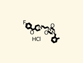 Cc1ccccc1CN1CC(=O)N(CCCN2CCC(C(=O)c3ccc(F)cc3)CC2)C(=O)C1.Cl